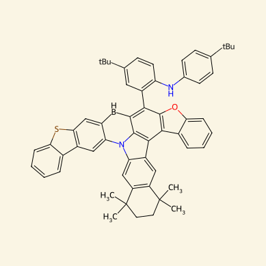 CC(C)(C)c1ccc(Nc2ccc(C(C)(C)C)cc2-c2c3c4c(c5cc6c(cc5n4-c4cc5c(cc4B3)sc3ccccc35)C(C)(C)CCC6(C)C)c3c2oc2ccccc23)cc1